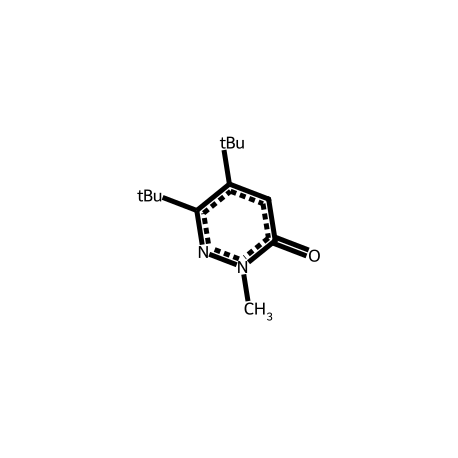 Cn1nc(C(C)(C)C)c(C(C)(C)C)cc1=O